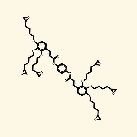 O=C(/C=C/c1ccc(OCCCCC2CO2)c(OCCCCC2CO2)c1OCCCCC1CO1)Oc1ccc(OC(=O)/C=C/c2ccc(OCCCCC3CO3)c(OCCCCC3CO3)c2OCCCCC2CO2)cc1